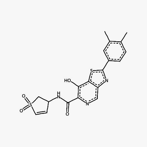 Cc1ccc(-c2nc3cnc(C(=O)NC4C=CS(=O)(=O)C4)c(O)c3s2)cc1C